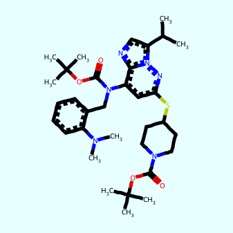 CC(C)c1cnc2c(N(Cc3ccccc3N(C)C)C(=O)OC(C)(C)C)cc(SC3CCN(C(=O)OC(C)(C)C)CC3)nn12